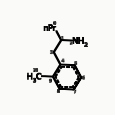 CCCC(N)Cc1ccccc1C